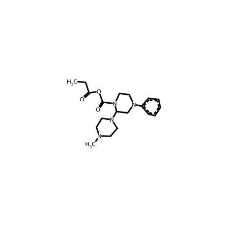 CCC(=O)OC(=O)N1CCN(c2ccccc2)CC1N1CCN(C)CC1